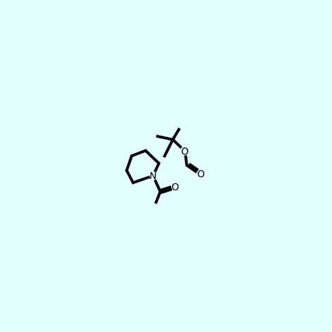 CC(=O)N1CCCCC1.CC(C)(C)OC=O